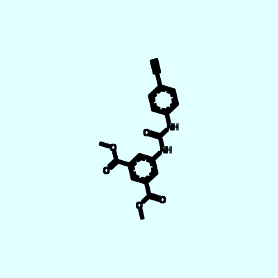 C#Cc1ccc(NC(=O)Nc2cc(C(=O)OC)cc(C(=O)OC)c2)cc1